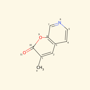 Cc1cc2ccncc2oc1=O